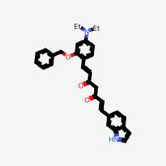 CCN(CC)c1ccc(C=CC(=O)CC(=O)C=Cc2ccc3cc[nH]c3c2)c(OCc2ccccc2)c1